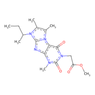 CCC(C)n1c(C)c(C)n2c3c(=O)n(CC(=O)OC)c(=O)n(C)c3nc12